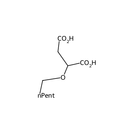 CCCCCCOC(CC(=O)O)C(=O)O